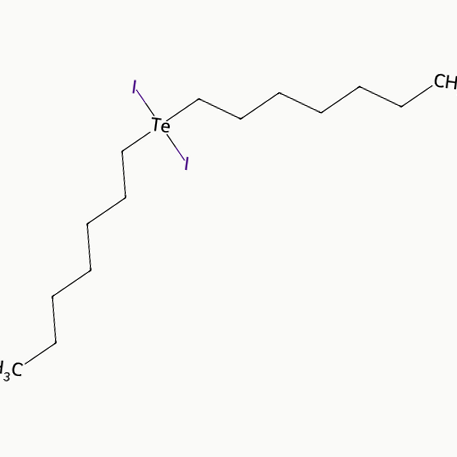 CCCCCCC[Te](I)(I)CCCCCCC